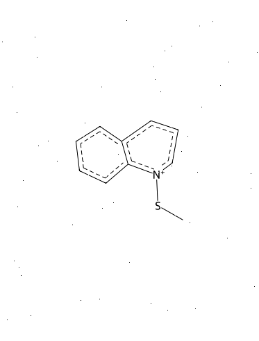 CS[n+]1cccc2ccccc21